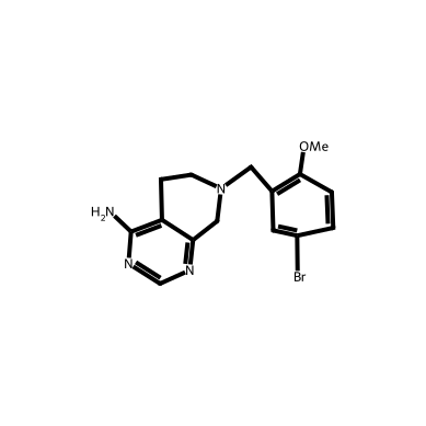 COc1ccc(Br)cc1CN1CCc2c(N)ncnc2C1